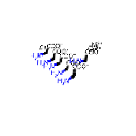 NCC(=O)[O-].NCC(=O)[O-].NCC(=O)[O-].NCC(=O)[O-].NCC(=O)[O-].NCC(=O)[O-].[Co+2].[Ni+2].[Zn+2]